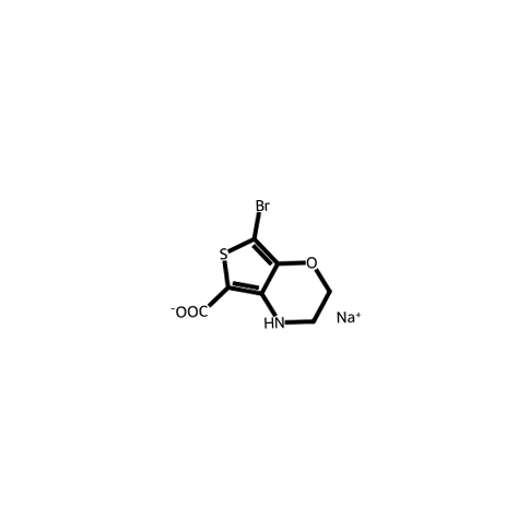 O=C([O-])c1sc(Br)c2c1NCCO2.[Na+]